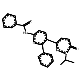 CC(C)n1nc(-c2ccc(NC(=O)c3ccccc3)nc2-c2ccccc2)ccc1=O